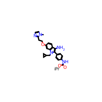 CC(C)OC(=O)Nc1ccc(-c2c(N)c3ccc(OCCc4nccn4C)cc3n2CC2CC2)cc1